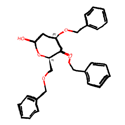 OC1C[C@@H](OCc2ccccc2)C(OCc2ccccc2)[C@@H](COCc2ccccc2)O1